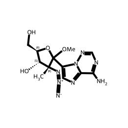 COC1(c2cnc3c(N)ncnn23)O[C@H](CO)[C@@H](O)[C@@]1(C)N=[N+]=[N-]